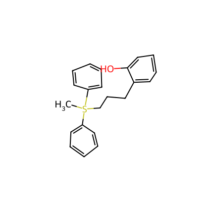 CS(CCCc1ccccc1O)(c1ccccc1)c1ccccc1